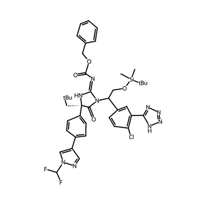 CC(C)(C)C[C@]1(c2ccc(-c3cnn(C(F)F)c3)cc2)NC(=NC(=O)OCc2ccccc2)N(C(CO[Si](C)(C)C(C)(C)C)c2ccc(Cl)c(-c3nnn[nH]3)c2)C1=O